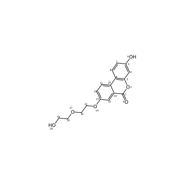 O=c1oc2cc(O)ccc2c2ccc(OCCOCCO)cc12